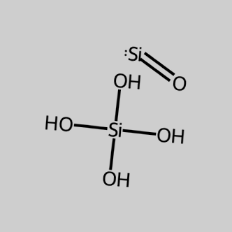 O=[Si].O[Si](O)(O)O